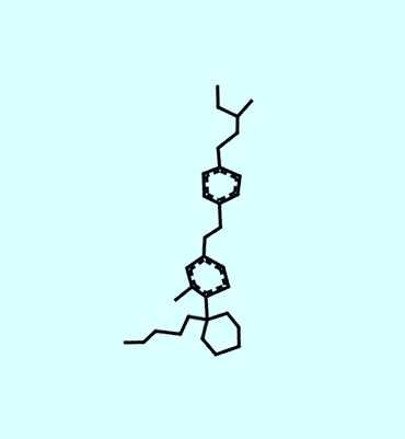 CCCCCC1(c2ccc(CCc3ccc(CCC(C)CC)cc3)cc2C)CCCCC1